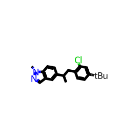 CC(Cc1ccc(C(C)(C)C)cc1Cl)c1ccc2c(cnn2C)c1